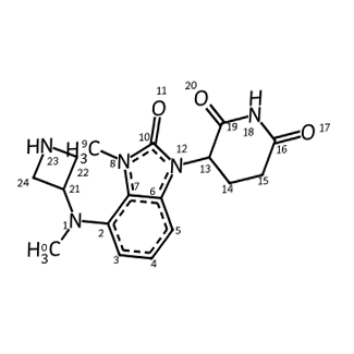 CN(c1cccc2c1n(C)c(=O)n2C1CCC(=O)NC1=O)C1CNC1